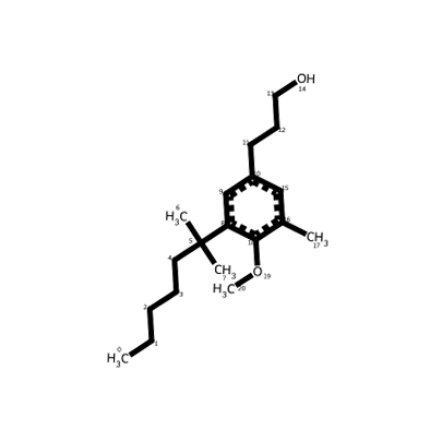 CCCCCC(C)(C)c1cc(CCCO)cc(C)c1OC